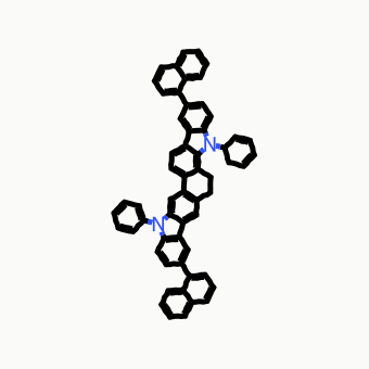 C1=CCC(n2c3ccc(-c4cccc5ccccc45)cc3c3ccc4c(c32)CCc2cc3c5cc(-c6cccc7ccccc67)ccc5n(-c5ccccc5)c3cc2-4)C=C1